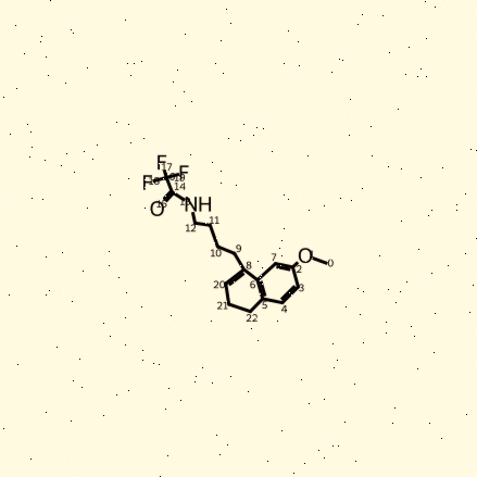 COc1ccc2c(c1)C(CCCCNC(=O)C(F)(F)F)=CCC2